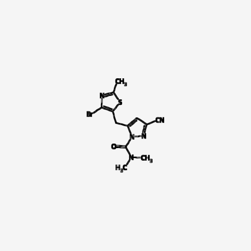 Cc1nc(Br)c(Cc2cc(C#N)nn2C(=O)N(C)C)s1